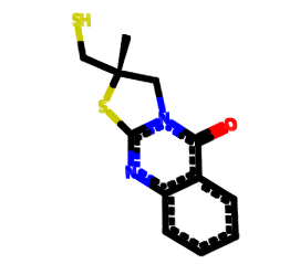 C[C@@]1(CS)Cn2c(nc3ccccc3c2=O)S1